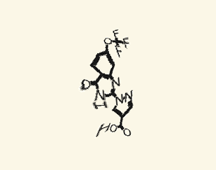 O=C(O)c1cnn(-c2nc3cc(OC(F)(F)F)ccc3c(=O)[nH]2)c1